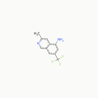 Cc1cc2c(N)cc(C(F)(F)F)cc2cn1